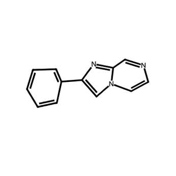 c1ccc(-c2cn3ccncc3n2)cc1